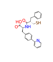 O=C(N[C@@H](Cc1ccc(-c2ccccn2)cc1)C(=O)O)[C@@H](CS)Cc1ccccc1